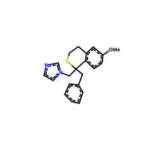 COc1ccc2c(c1)CCSC2(Cc1ccccc1)Cn1ccnc1